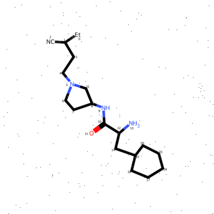 CCC(C#N)CCN1CCC(NC(=O)C(N)CC2CCCCC2)C1